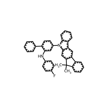 CC1(C)c2ccccc2-c2cc3c4ccccc4n(-c4ccc(-c5ccccc5)c(Nc5ccc(F)cc5)c4)c3cc21